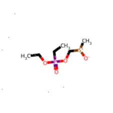 CCOP(=O)(CC)OC[S+](C)[O-]